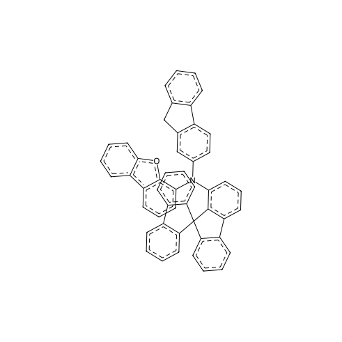 c1ccc2c(c1)Cc1cc(N(c3cccc4c3C3(c5ccccc5-c5ccccc53)c3ccccc3-4)c3cccc4c3oc3ccccc34)ccc1-2